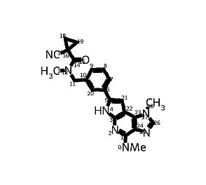 CNc1nc2[nH]c(-c3cccc(CN(C)C(=O)C4(C#N)CC4)c3)cc2c2c1ncn2C